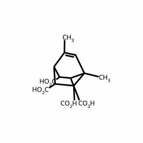 CC1=CC2(C)C(C(=O)O)C(C(=O)O)C1C(C(=O)O)C2C(=O)O